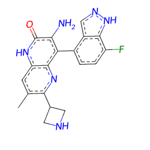 Cc1cc2[nH]c(=O)c(N)c(-c3ccc(F)c4[nH]ncc34)c2nc1C1CNC1